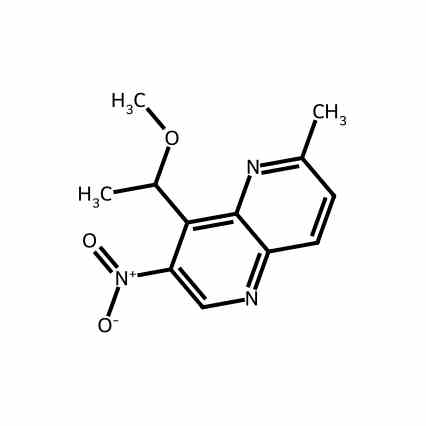 COC(C)c1c([N+](=O)[O-])cnc2ccc(C)nc12